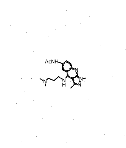 CC(=O)Nc1ccc2nc3c(c(C)nn3C)c(NCCCN(C)C)c2c1